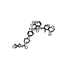 Cc1c(Nc2cc[nH]c(=O)c2C(=O)Nc2ccc(N3CCN(C(=O)N4CC5(COC5)C4)CC3)cc2)cnc2c1NCCO2